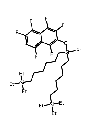 CC[Si](CC)(CC)CCCCCC[Si](CCCCCC[Si](CC)(CC)CC)(Oc1c(F)c(F)c2c(F)c(F)[c]c(F)c2c1F)C(C)C